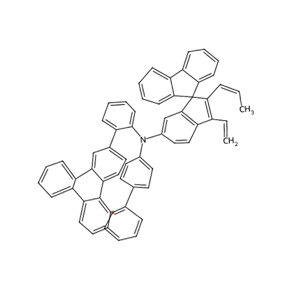 C=CC1=C(/C=C\C)C2(c3cc(N(c4ccc(-c5ccccc5)cc4)c4ccccc4-c4ccc5c6ccccc6c6ccccc6c5c4)ccc31)c1ccccc1-c1ccccc12